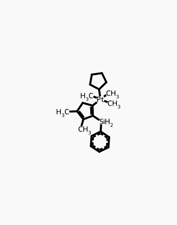 CC1=C(C)C([SiH2]c2ccccc2)=[C]([Pt]([CH3])([CH3])([CH3])[CH]2CCCC2)C1